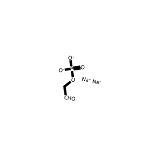 O=CCOP(=O)([O-])[O-].[Na+].[Na+]